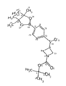 CC(C)(C)OC(=O)N1CC([S+]([O-])c2ccc(B3OC(C)(C)C(C)(C)O3)cc2)C1